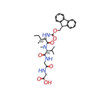 CC[C@H](C)[C@H](NC(=O)OCC1c2ccccc2-c2ccccc21)C(=O)N(C)[C@H](C(=O)NCC(=O)NCC(=O)O)C(C)C